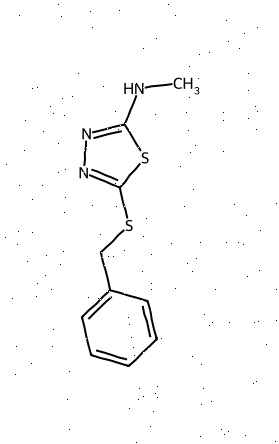 CNc1nnc(SCc2ccccc2)s1